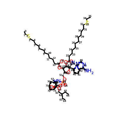 CCSCCCCCCCCCCCC(=O)O[C@H]1[C@@H](OC(=O)CCCCCCCCCCCSCC)[C@](C#N)(c2ccc3c(N)ncnn23)O[C@@H]1COP(=O)(N[C@H](C)C(=O)OCC(CC)CC)Oc1ccccc1